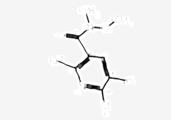 CON(C)C(=O)c1cc(Cl)c(Cl)nc1Cl